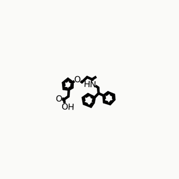 CC(CCOc1cccc(CC(=O)O)c1)NCC(c1ccccc1)c1ccccc1